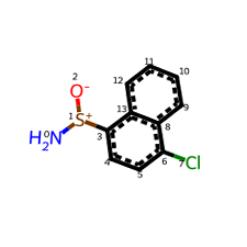 N[S+]([O-])c1ccc(Cl)c2ccccc12